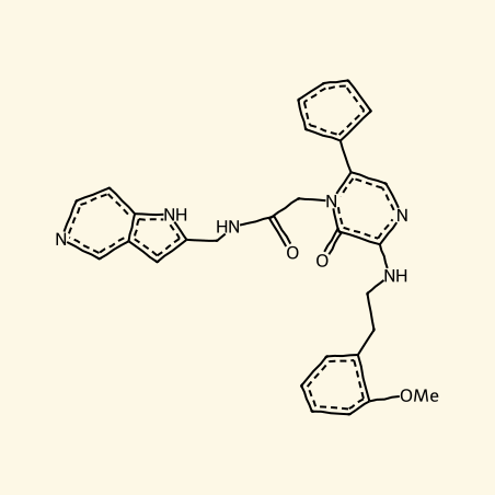 COc1ccccc1CCNc1ncc(-c2ccccc2)n(CC(=O)NCc2cc3cnccc3[nH]2)c1=O